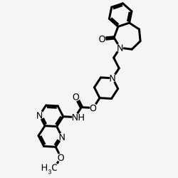 COc1ccc2nccc(NC(=O)OC3CCN(CCN4CCCc5ccccc5C4=O)CC3)c2n1